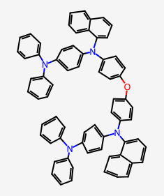 c1ccc(N(c2ccccc2)c2ccc(N(c3ccc(Oc4ccc(N(c5ccc(N(c6ccccc6)c6ccccc6)cc5)c5cccc6ccccc56)cc4)cc3)c3cccc4ccccc34)cc2)cc1